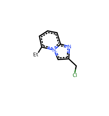 CCc1cccc2nc(CCl)cn12